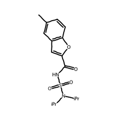 Cc1ccc2oc(C(=O)NS(=O)(=O)N(C(C)C)C(C)C)cc2c1